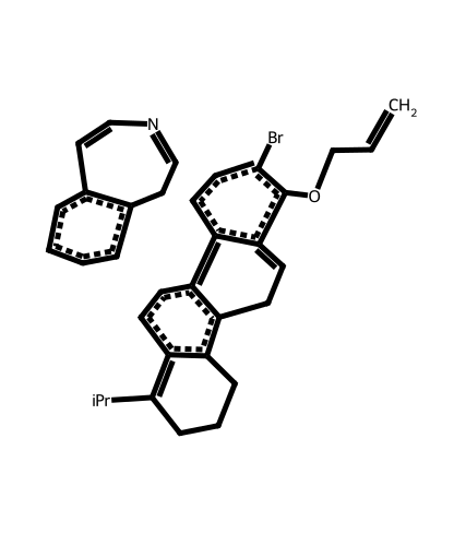 C1=Cc2ccccc2CC=N1.C=CCOc1c(Br)ccc2c1=CCc1c3c(ccc1=2)=C(C(C)C)CCC3